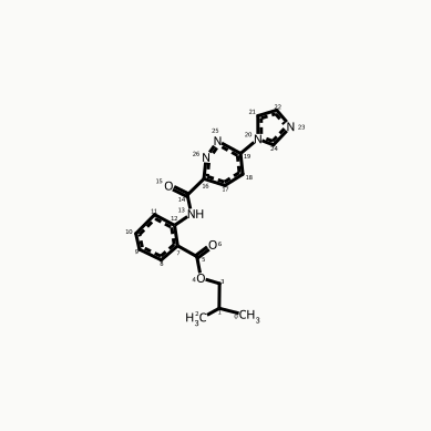 CC(C)COC(=O)c1ccccc1NC(=O)c1ccc(-n2ccnc2)nn1